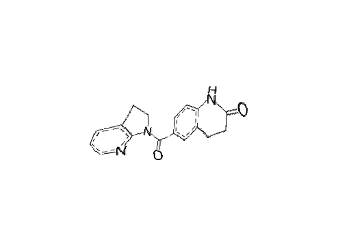 O=C1CCc2cc(C(=O)N3CCc4cccnc43)ccc2N1